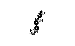 CCC(C)(C)c1ccc(-c2nc3ccc(-c4ccc5nc(C(C)(C)C)[nH]c5c4)cc3[nH]2)cn1